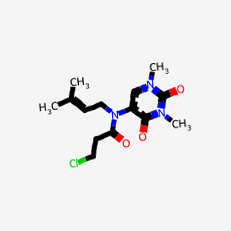 CC(C)=CCN(C(=O)CCCl)c1cn(C)c(=O)n(C)c1=O